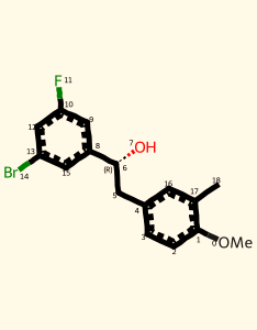 COc1ccc(C[C@@H](O)c2cc(F)cc(Br)c2)cc1C